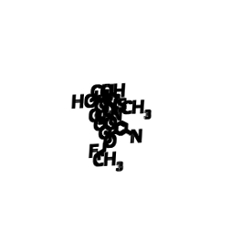 CSc1nc(Oc2ccc(C#N)cc2C(=O)OCCC(C)F)c([N+](=O)[O-])c(OC(C(=O)O)C(C)O)n1